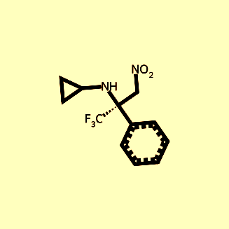 O=[N+]([O-])C[C@](NC1CC1)(c1ccccc1)C(F)(F)F